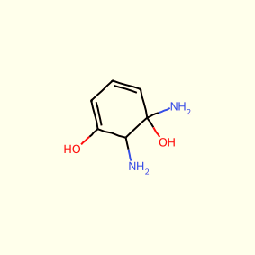 NC1C(O)=CC=CC1(N)O